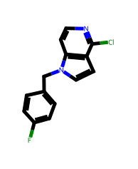 Fc1ccc(Cn2ccc3c(Cl)nccc32)cc1